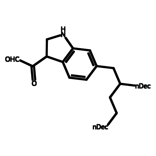 CCCCCCCCCCCCC(CCCCCCCCCC)Cc1ccc2c(c1)NCC2C(=O)C=O